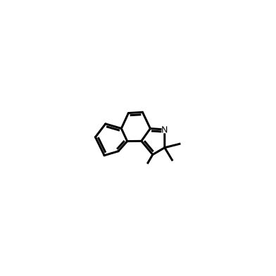 CC1=c2c(ccc3ccccc23)=NC1(C)C